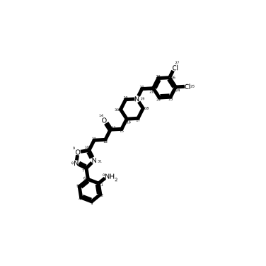 Nc1ccccc1-c1noc(CCC(=O)CC2CCN(Cc3ccc(Cl)c(Cl)c3)CC2)n1